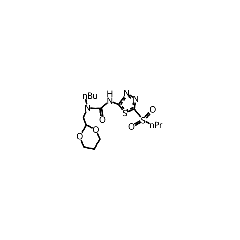 CCCCN(CC1OCCCO1)C(=O)Nc1nnc(S(=O)(=O)CCC)s1